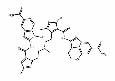 CCCn1c(NC(=O)c2cc(C)nn2CCN(C)CCc2c(C)nn(CC)c2C(=O)Nc2nc3cc(C(N)=O)cc4c3n2CCO4)nc2cc(C(N)=O)ccc21